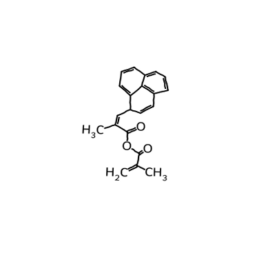 C=C(C)C(=O)OC(=O)C(C)=CC1C=Cc2cccc3cccc1c23